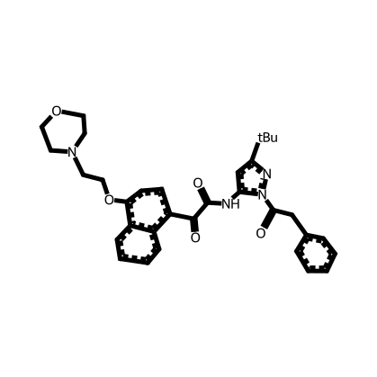 CC(C)(C)c1cc(NC(=O)C(=O)c2ccc(OCCN3CCOCC3)c3ccccc23)n(C(=O)Cc2ccccc2)n1